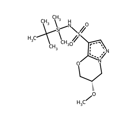 CO[C@@H]1COc2c(S(=O)(=O)N[Si](C)(C)C(C)(C)C)cnn2C1